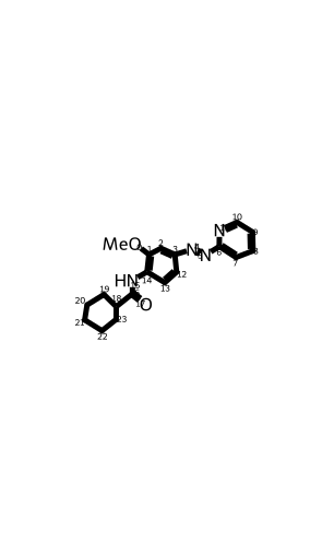 COc1cc(/N=N/c2ccccn2)ccc1NC(=O)C1CCCCC1